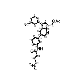 CC(=O)OCn1cc(-c2cccc(C#N)c2)c2cc(-c3cccc(NC(=O)C=CCN(C)C)c3)cnc21